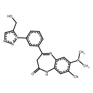 CN(C)c1cc2c(cc1C#N)NC(=O)CC(c1cccc(-n3nncc3CO)c1)=N2